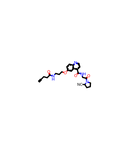 C#CCCC(=O)NCCCOc1ccc2nccc(C(=O)NCC(=O)N3CCCC3C#N)c2c1